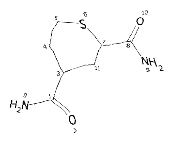 NC(=O)C1CCSC(C(N)=O)C1